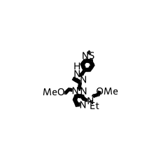 CCN(CCOC)c1nccc2c1nc(-c1c[nH]c(-c3ccc4scnc4c3)n1)n2CCOC